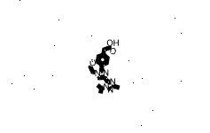 Cc1nc(-c2cn3c(n2)-c2ccc(CC(=O)O)cc2OCC3)n(C(C)C)n1